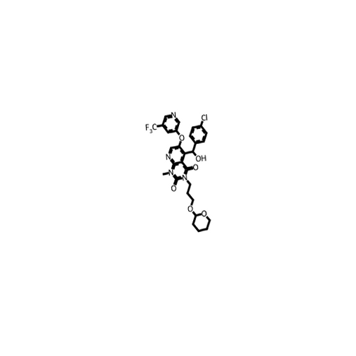 Cn1c(=O)n(CCCOC2CCCCO2)c(=O)c2c(C(O)c3ccc(Cl)cc3)c(Oc3cncc(C(F)(F)F)c3)cnc21